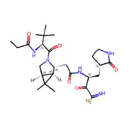 CCC(=O)N[C@H](C(=O)N1C[C@H]2[C@@H]([C@H]1CC(=O)N[C@@H](C[C@@H]1CCNC1=O)C(=O)C(=N)S)C2(C)C)C(C)(C)C